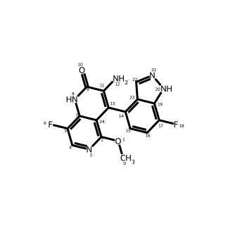 COc1ncc(F)c2[nH]c(=O)c(N)c(-c3ccc(F)c4[nH]ncc34)c12